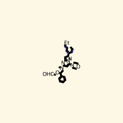 C\C=C/C(=C\C=C\CC)c1cc2nc(N(C)CC(OCC=O)c3ccccc3)cc(N3CCOCC3)n2n1